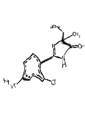 Cc1ccc(C2=NC(C)(C(C)C)C(=O)N2)c(Cl)c1